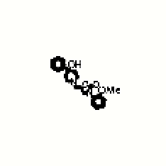 COc1ccccc1N1CC(CN2CCC(O)(c3ccccc3)CC2)OC1=O